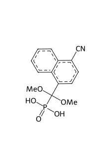 COC(OC)(c1ccc(C#N)c2ccccc12)P(=O)(O)O